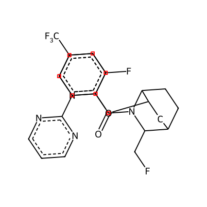 O=C(c1c(F)cccc1-c1ncccn1)N1C(CF)C2CCC1C(Oc1ccc(C(F)(F)F)cn1)C2